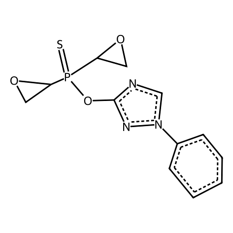 S=P(Oc1ncn(-c2ccccc2)n1)(C1CO1)C1CO1